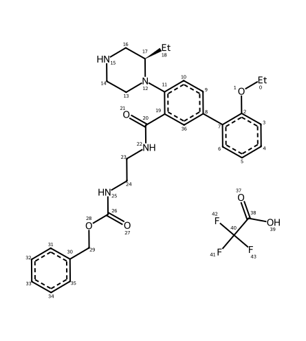 CCOc1ccccc1-c1ccc(N2CCNC[C@H]2CC)c(C(=O)NCCNC(=O)OCc2ccccc2)c1.O=C(O)C(F)(F)F